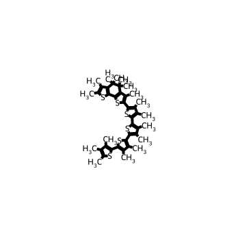 Cc1sc(-c2sc(-c3sc(-c4sc(-c5sc6c(c5C)C(C)(C)C(C)(C)c5c-6sc(C)c5C)c(C)c4C)c(C)c3C)c(C)c2C)c(C)c1C